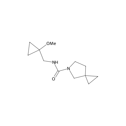 COC1(CNC(=O)N2CCC3(CC3)C2)CC1